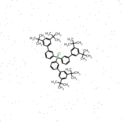 CC(C)(C)c1cc(-c2cccc([Si](Cl)(c3cccc(-c4cc(C(C)(C)C)cc(C(C)(C)C)c4)c3)c3cccc(-c4cc(C(C)(C)C)cc(C(C)(C)C)c4)c3)c2)cc(C(C)(C)C)c1